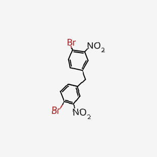 O=[N+]([O-])c1cc(Cc2ccc(Br)c([N+](=O)[O-])c2)ccc1Br